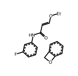 CCOC=CC(=O)Nc1cccc(F)c1.c1ccc2c(c1)CO2